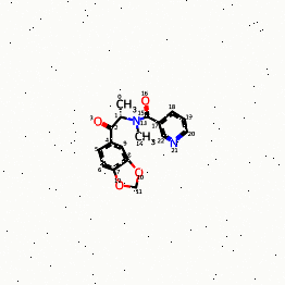 C[C@@H](C(=O)c1ccc2c(c1)OCO2)N(C)C(=O)c1cccnc1